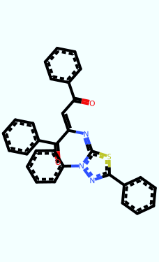 O=C(/C=C(\N=c1\sc(-c2ccccc2)nn1-c1ccccc1)C(=O)c1ccccc1)c1ccccc1